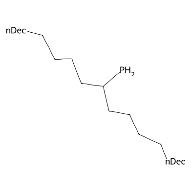 CCCCCCCCCCCCCCC(P)CCCCCCCCCCCCCC